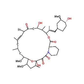 CCC1/C=C(\C)CC(C)CC(OC)C2OC(O)(C(=O)C(=O)N3CCCCC3C(=O)OC(/C(C)=C/[C@@H]3CC[C@@H](O)[C@H](OC)C3)C(C)C(O)CC1=O)C(C)CC2OC